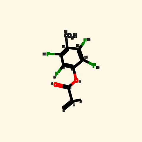 C=C(C)C(=O)Oc1c(F)c(F)c(C(=O)O)c(F)c1F